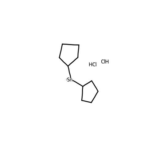 C1CC[CH]([Sn][CH]2CCCC2)C1.Cl.Cl